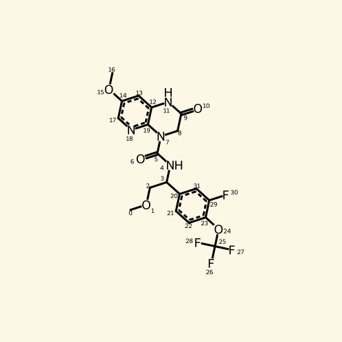 COCC(NC(=O)N1CC(=O)Nc2cc(OC)cnc21)c1ccc(OC(F)(F)F)c(F)c1